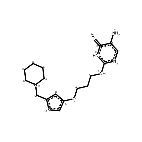 Nc1cnc(NCCCOc2csc(CN3CCCCC3)c2)[nH]c1=O